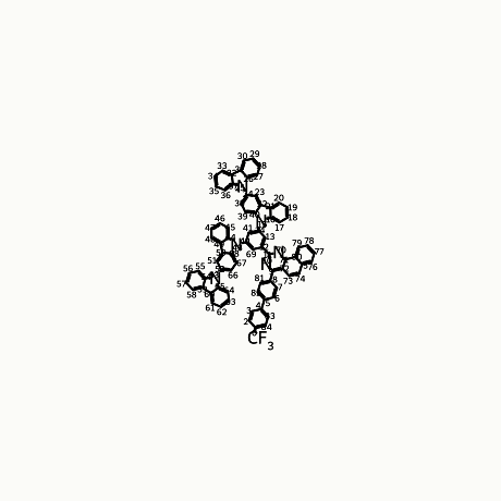 FC(F)(F)c1ccc(-c2ccc(-c3nc(-c4cc(-n5c6ccccc6c6cc(-n7c8ccccc8c8ccccc87)ccc65)cc(-n5c6ccccc6c6cc(-n7c8ccccc8c8ccccc87)ccc65)c4)nc4c3ccc3ccccc34)cc2)cc1